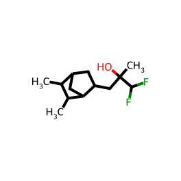 CC1C2CC(CC(C)(O)C(F)F)C(C2)C1C